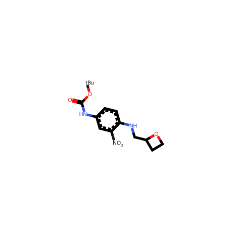 CC(C)(C)OC(=O)Nc1ccc(NCC2CCO2)c([N+](=O)[O-])c1